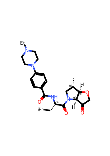 CCN1CCN(c2ccc(C(=O)N[C@@H](CC(C)C)C(=O)N3C[C@H](C)[C@H]4OCC(=O)[C@H]43)cc2)CC1